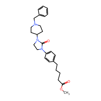 COC(=O)CCCCc1ccc(N2CCN(C3CCN(Cc4ccccc4)CC3)C2=O)cc1